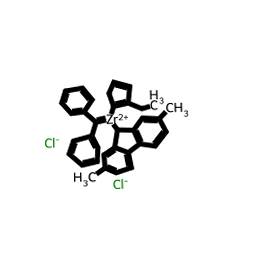 CCC1=[C]([Zr+2](=[C](c2ccccc2)c2ccccc2)[CH]2c3cc(C)ccc3-c3ccc(C)cc32)CC=C1.[Cl-].[Cl-]